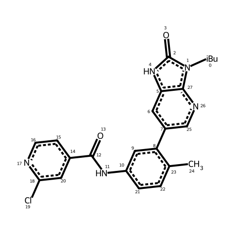 CCC(C)n1c(=O)[nH]c2cc(-c3cc(NC(=O)c4ccnc(Cl)c4)ccc3C)cnc21